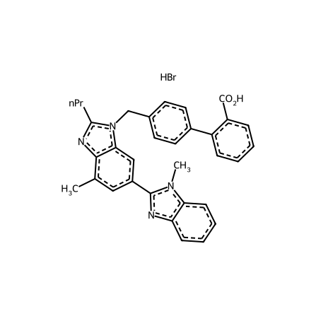 Br.CCCc1nc2c(C)cc(-c3nc4ccccc4n3C)cc2n1Cc1ccc(-c2ccccc2C(=O)O)cc1